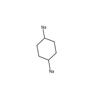 [Na][CH]1CC[CH]([Na])CC1